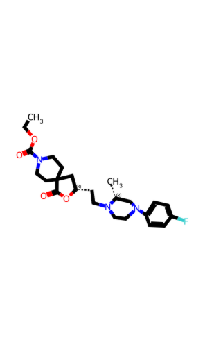 CCOC(=O)N1CCC2(CC1)C[C@H](CCN1CCN(c3ccc(F)cc3)C[C@H]1C)OC2=O